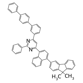 CC1(C)c2ccccc2-c2cc(-c3ccc(-c4cc(-c5cccc(-c6ccc(-c7ccccc7)cc6)c5)nc(-c5ccccc5)n4)c4ccccc34)ccc21